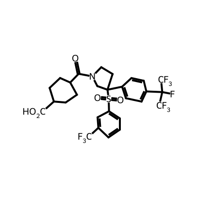 O=C(O)C1CCC(C(=O)N2CCC(c3ccc(C(F)(C(F)(F)F)C(F)(F)F)cc3)(S(=O)(=O)c3cccc(C(F)(F)F)c3)C2)CC1